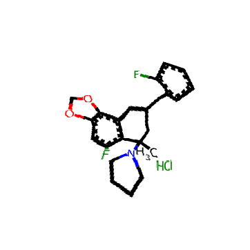 CC1(N2CCCC2)CC(c2ccccc2F)Cc2c3c(cc(F)c21)OCO3.Cl